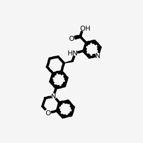 O=C(O)c1ccncc1NC[C@@H]1CCCc2cc(N3CCOc4ccccc43)ccc21